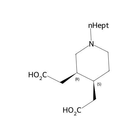 CCCCCCCN1CC[C@@H](CC(=O)O)[C@@H](CC(=O)O)C1